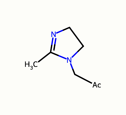 CC(=O)CN1CCN=C1C